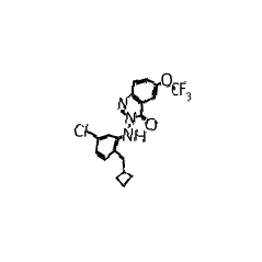 O=c1c2cc(OC(F)(F)F)ccc2ncn1Nc1cc(Cl)ccc1CC1CCC1